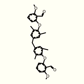 COc1cccc(Oc2c(C)cc(Cc3cc(C)c(Oc4cccc(OC)c4C=O)c(C)c3)cc2C)c1C=O